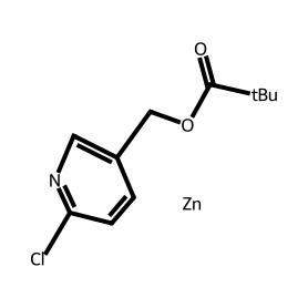 CC(C)(C)C(=O)OCc1ccc(Cl)nc1.[Zn]